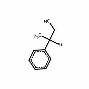 CCC(C)(CC#N)c1ccccc1